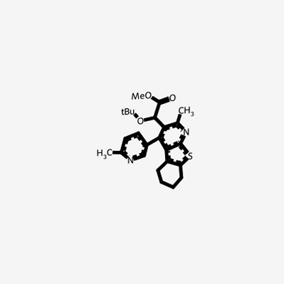 COC(=O)C(OC(C)(C)C)c1c(C)nc2sc3c(c2c1-c1ccc(C)nc1)CCCC3